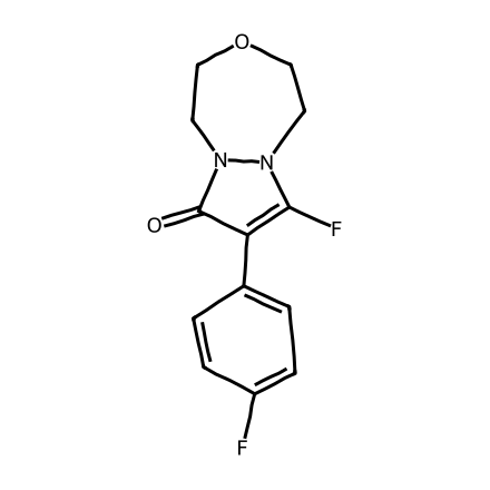 O=c1c(-c2ccc(F)cc2)c(F)n2n1CCOCC2